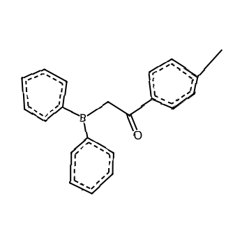 Cc1ccc(C(=O)CB(c2ccccc2)c2ccccc2)cc1